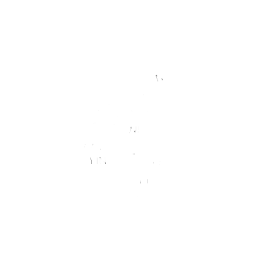 CCCNCc1ccc(NC(=C2C(=O)Nc3cc(OCC)c(OCC)cc32)c2ccccc2)cc1